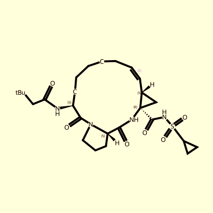 CC(C)(C)CC(=O)N[C@H]1CCCCC/C=C\[C@@H]2C[C@@]2(C(=O)NS(=O)(=O)C2CC2)NC(=O)[C@@H]2CCCN2C1=O